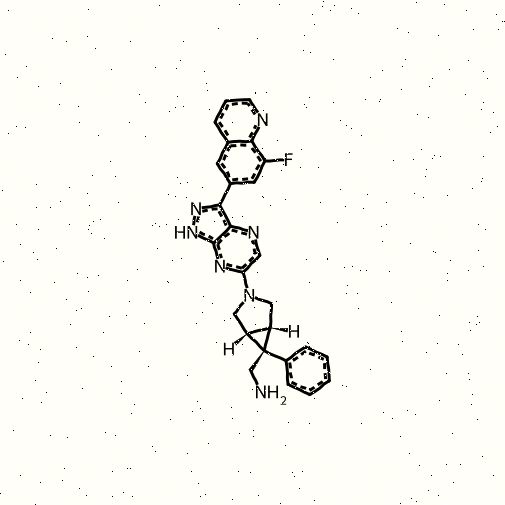 NC[C@@]1(c2ccccc2)[C@@H]2CN(c3cnc4c(-c5cc(F)c6ncccc6c5)n[nH]c4n3)C[C@@H]21